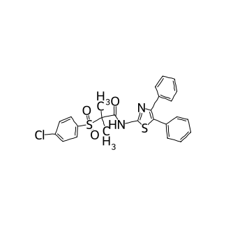 CC(C)(C(=O)Nc1nc(-c2ccccc2)c(-c2ccccc2)s1)S(=O)(=O)c1ccc(Cl)cc1